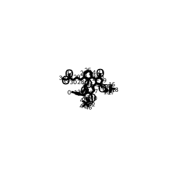 CC#CCC(C)C(C=CC1C(O[Si](C)(C)C(C)(C)C)CC(=O)C1c1cccc(CCCC(=O)OC)c1OCOC)O[Si](C)(C)C(C)(C)C